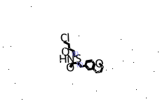 O=C(/C=c1\[nH]c(=O)/c(=C/c2ccc3c(c2)CCCO3)s1)CCCl